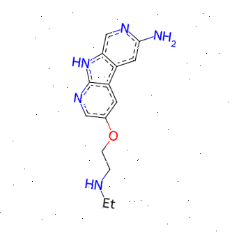 CCNCCOc1cnc2[nH]c3cnc(N)cc3c2c1